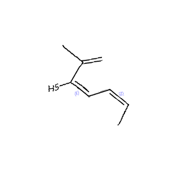 C=C(C)/C(S)=C\C=C/C